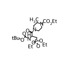 CCOC(=O)N1CCN(C(=O)C(CP(=O)(OCC)OCC)NC(=O)OC(C)(C)C)CC1C